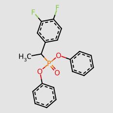 CC(c1ccc(F)c(F)c1)P(=O)(Oc1ccccc1)Oc1ccccc1